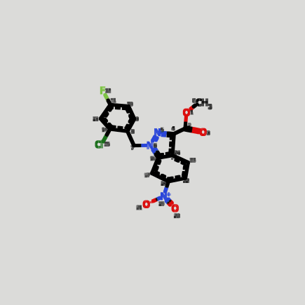 COC(=O)c1nn(Cc2ccc(F)cc2Cl)c2cc([N+](=O)[O-])ccc12